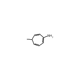 CC1C=CC=C(N)C=C1